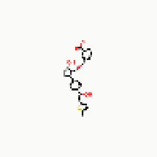 Cc1ccc(CC(O)c2ccc(C3CCC(O)C3COCc3cccc(C(=O)O)c3)cc2)s1